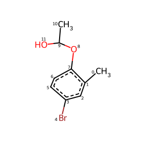 Cc1cc(Br)ccc1OC(C)O